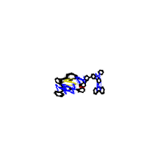 c1ccc(-c2nc(-c3ccccc3)nc(-c3cccc4c3sc3c(-n5c6ccccc6c6cc(-c7ccc8c(c7)c7cc(-n9c%10ccccc%10c%10ccccc%109)ccc7n8-c7ccccc7)ccc65)cccc34)n2)cc1